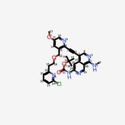 CNc1ncc(C#Cc2ncc(OC)cc2COCCc2cccc(Cl)n2)c2cc(NC(=O)OC(C)(C)C)ncc12